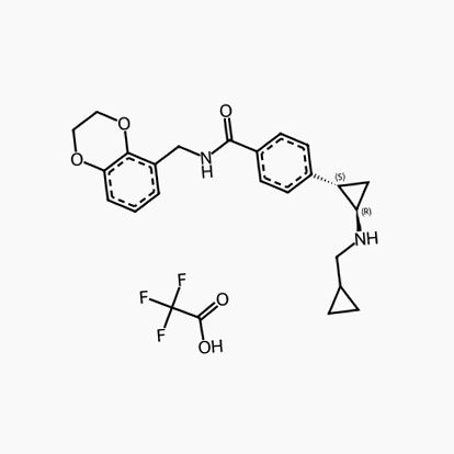 O=C(NCc1cccc2c1OCCO2)c1ccc([C@@H]2C[C@H]2NCC2CC2)cc1.O=C(O)C(F)(F)F